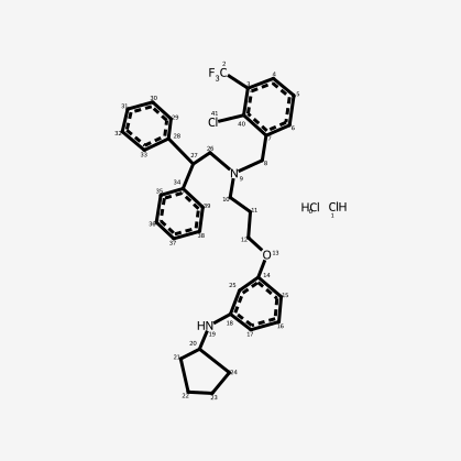 Cl.Cl.FC(F)(F)c1cccc(CN(CCCOc2cccc(NC3CCCC3)c2)CC(c2ccccc2)c2ccccc2)c1Cl